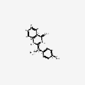 CN(c1ccc(Cl)cc1)c1nc(=O)c2cnccc2s1